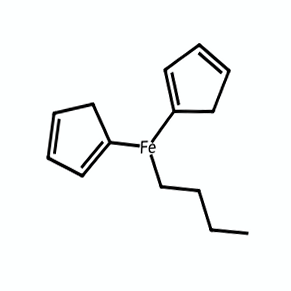 CCC[CH2][Fe]([C]1=CC=CC1)[C]1=CC=CC1